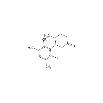 Cc1cc(C)c(C(F)(F)F)c(C2CC(=O)CCC2C)c1F